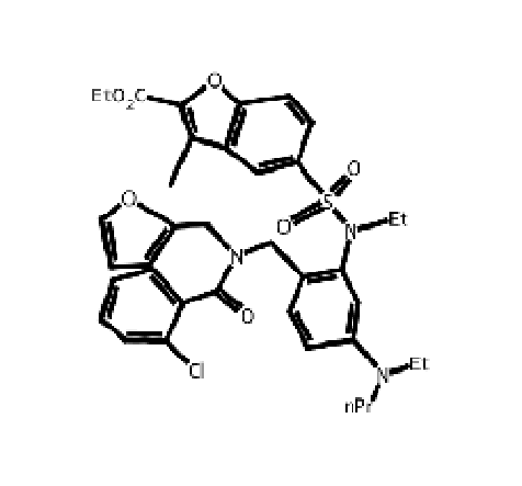 CCCN(CC)c1ccc(CN(Cc2ccco2)C(=O)c2ccccc2Cl)c(N(CC)S(=O)(=O)c2ccc3oc(C(=O)OCC)c(C)c3c2)c1